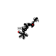 COCOC[C@@H]1OC(Cc2ccc(C(=O)O)c3c2CCN(c2ccc(-c4cnn(CC56CC7(C)CC(C)(C5)CC(OCCNC(=O)OC(C)(C)C)(C7)C6)c4C)c(C(=O)OC(C)(C)C)n2)C3)[C@@H](OCOC)[C@H](OCOC)[C@H]1OCOC